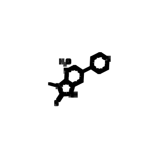 Cn1c(=S)[nH]c2cc(-c3ccncc3)cnc21.O